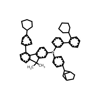 CC1(C)c2cc(N(c3ccc(C4CC5CCC4C5)cc3)c3cccc(-c4ccccc4C4CCCCC4)c3)ccc2-c2c(-c3ccc(C4CCCCC4)cc3)cccc21